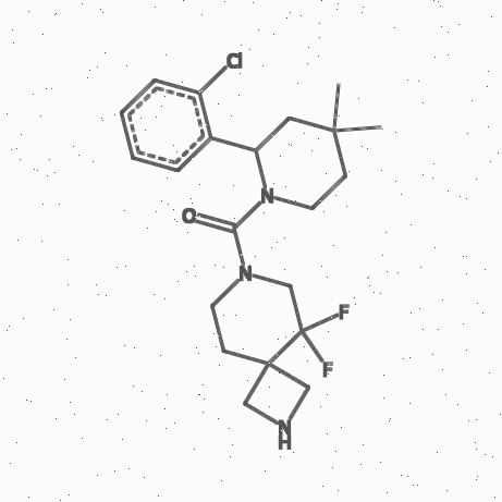 CC1(C)CCN(C(=O)N2CCC3(CNC3)C(F)(F)C2)C(c2ccccc2Cl)C1